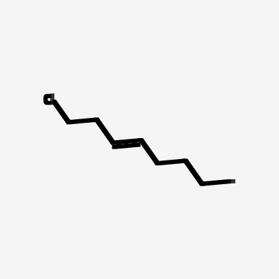 [CH2]CCCC=CCCCl